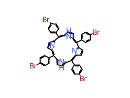 Brc1ccc(-c2c3nc(c(-c4ccc(Br)cc4)c4ccc([nH]4)c(-c4ccc(Br)cc4)c4nc(c(-c5ccc(Br)cc5)c5ccc2[nH]5)C=C4)C=C3)cc1